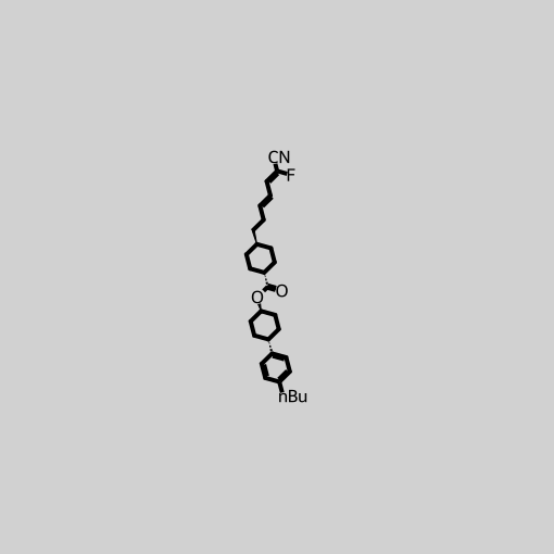 CCCCc1ccc([C@H]2CC[C@H](OC(=O)[C@H]3CC[C@H](CCC=CC=C(F)C#N)CC3)CC2)cc1